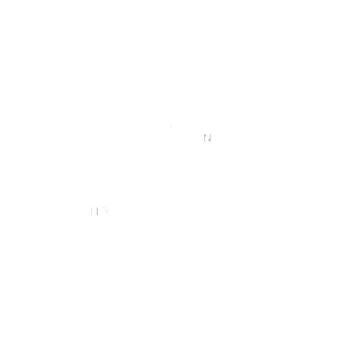 CC(CCCCO)CCC(C)CN1CCOCC1